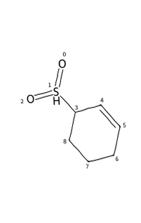 O=[SH](=O)C1C=CCCC1